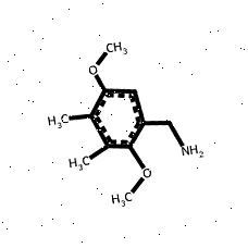 COc1cc(CN)c(OC)c(C)c1C